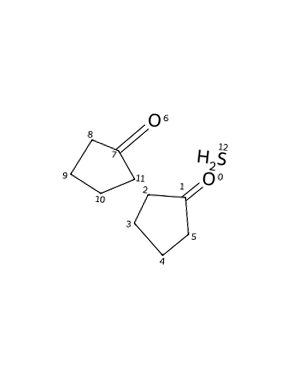 O=C1CCCC1.O=C1CCCC1.S